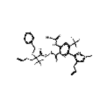 C=CCCC(OCc1ccccc1)(C(=O)NNC(=O)c1nc(-c2nn(C)cc2CC=C)c(C(F)(F)F)cc1NC(=O)O)C(F)(F)F